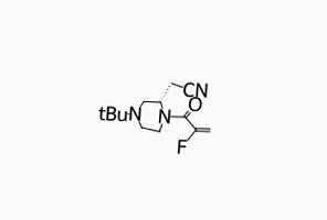 C=C(F)C(=O)N1CCN(C(C)(C)C)C[C@@H]1CC#N